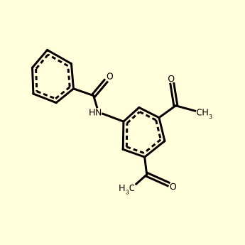 CC(=O)c1cc(NC(=O)c2ccccc2)cc(C(C)=O)c1